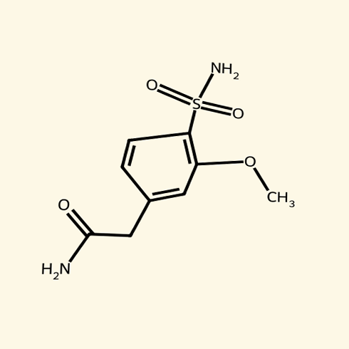 COc1cc(CC(N)=O)ccc1S(N)(=O)=O